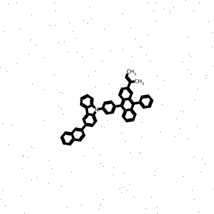 C/C=C(\C)c1ccc2c(-c3ccc(-n4c5ccccc5c5cc(-c6ccc7ccccc7c6)ccc54)cc3)c3ccccc3c(-c3ccccc3)c2c1